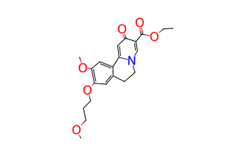 CCOC(=O)c1cn2c(cc1=O)-c1cc(OC)c(OCCCOC)cc1CC2